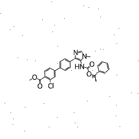 COC(=O)c1ccc(-c2ccc(-c3ncn(C)c3NC(=O)O[C@H](C)c3ccccc3)cc2)cc1Cl